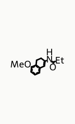 CCC(=O)NC1=Cc2cccc(OC)c2CC1